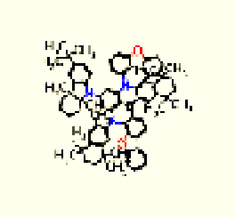 Cc1cc2c(cc1N1c3cc(N4c5ccc(C(C)(C)C)cc5C5(C)CCCCC45C)cc4c3B(c3cc5c(cc3N4c3cccc4oc6ccccc6c34)C(C)(C)CCC5(C)C)c3ccc4c(oc5ccccc54)c31)C(C)(C)CCC2(C)C